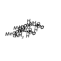 COc1ccc(NC(=O)C(CCCCNC(=O)OCc2ccccc2)NC(=O)c2cc(NC(=O)[C@@H](N)CCCCNC(=O)OCc3ccccc3)ccc2OC)cc1C(N)=O